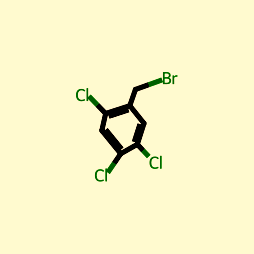 Clc1cc(Cl)c(CBr)cc1Cl